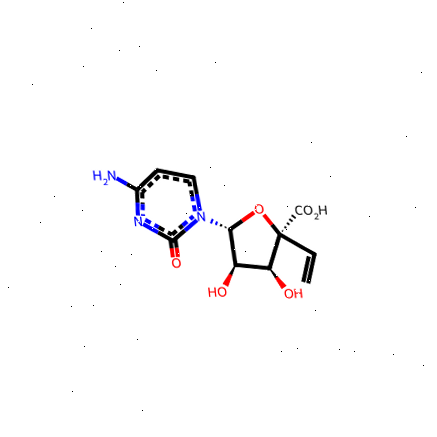 C=C[C@]1(C(=O)O)O[C@@H](n2ccc(N)nc2=O)[C@H](O)[C@@H]1O